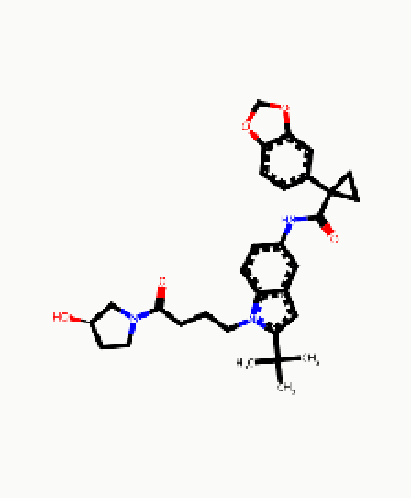 CC(C)(C)c1cc2cc(NC(=O)C3(c4ccc5c(c4)OCO5)CC3)ccc2n1CCCC(=O)N1CC[C@@H](O)C1